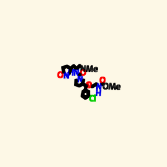 CNCC(CC1CCC(=O)N(C)C1)NC(=O)N1CCCC(C(OCCNC(=O)OC)c2cccc(Cl)c2)C1